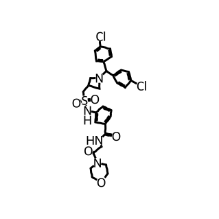 O=C(NCC(=O)N1CCOCC1)c1cccc(NS(=O)(=O)CC2CN(C(c3ccc(Cl)cc3)c3ccc(Cl)cc3)C2)c1